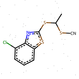 CC(SC#N)Sc1nc2c(Cl)cccc2s1